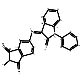 CC1C(=O)c2ccc(/N=C3\C(=O)N(c4ccccc4)c4ccccc43)cc2C1=O